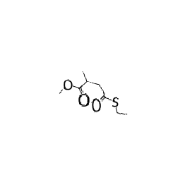 CCSC(=O)CC(C)C(=O)OC